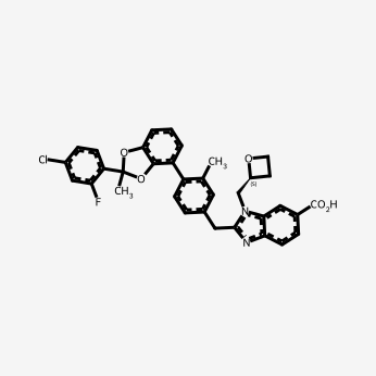 Cc1cc(Cc2nc3ccc(C(=O)O)cc3n2C[C@@H]2CCO2)ccc1-c1cccc2c1OC(C)(c1ccc(Cl)cc1F)O2